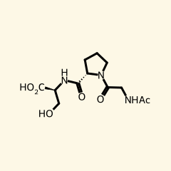 CC(=O)NCC(=O)N1CCC[C@H]1C(=O)N[C@@H](CO)C(=O)O